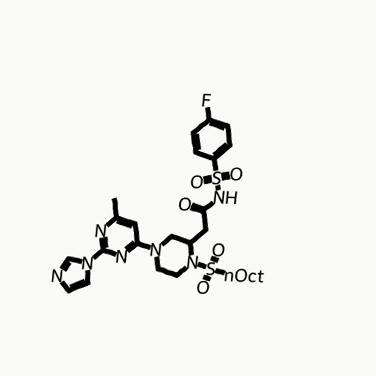 CCCCCCCCS(=O)(=O)N1CCN(c2cc(C)nc(-n3ccnc3)n2)CC1CC(=O)NS(=O)(=O)c1ccc(F)cc1